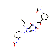 COC(=O)N(C)c1cccc(C(=O)Cn2c(=O)c3c(nc(N4CCCC(NC(=O)OC(C)(C)C)C4)n3CC=C(C)C)n(C)c2=O)c1